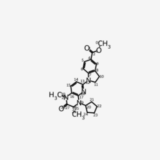 COC(=O)c1ccc2c(c1)CCN2c1ccc2c(n1)N(C1CCCC1)[C@H](C)C(=O)N2C